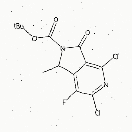 CC1c2c(F)c(Cl)nc(Cl)c2C(=O)N1C(=O)OC(C)(C)C